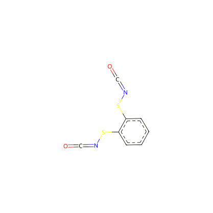 O=C=NSc1ccccc1SN=C=O